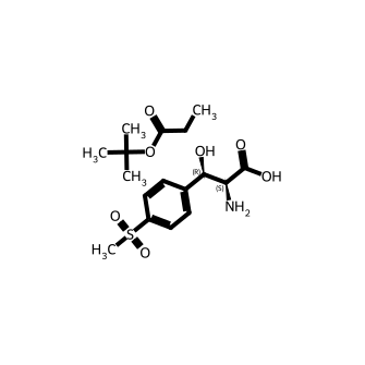 CCC(=O)OC(C)(C)C.CS(=O)(=O)c1ccc([C@@H](O)[C@H](N)C(=O)O)cc1